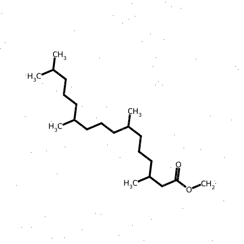 [CH2]OC(=O)CC(C)CCCC(C)CCCC(C)CCCC(C)C